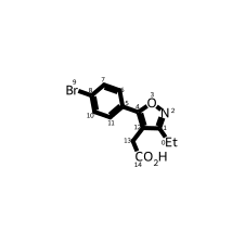 CCc1noc(-c2ccc(Br)cc2)c1CC(=O)O